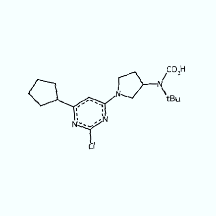 CC(C)(C)N(C(=O)O)C1CCN(c2cc(C3CCCC3)nc(Cl)n2)C1